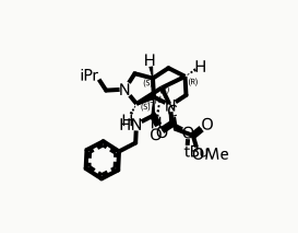 COC(=O)CC[C@@H]1[C@H]2C[C@H]3CN(CC(C)C)[C@@H]1[C@@]3(C(=O)NCc1ccccc1)N(C(=O)OC(C)(C)C)C2